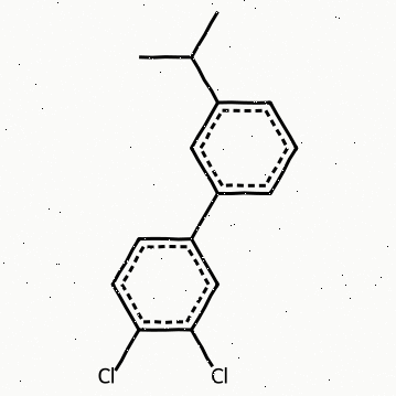 CC(C)c1cccc(-c2ccc(Cl)c(Cl)c2)c1